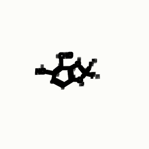 O=Cc1c(O)ccc2c1OC(F)(F)O2